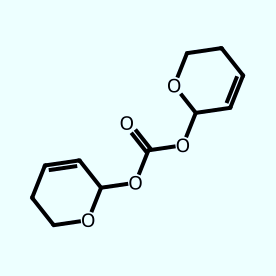 O=C(OC1C=CCCO1)OC1C=CCCO1